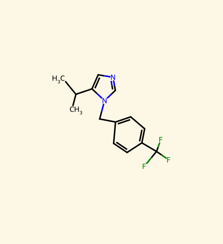 CC(C)c1cncn1Cc1ccc(C(F)(F)F)cc1